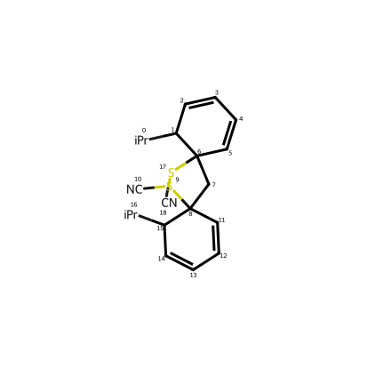 CC(C)C1C=CC=CC1(CC1(SC#N)C=CC=CC1C(C)C)SC#N